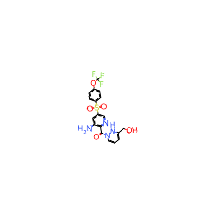 Nc1cc(S(=O)(=O)c2ccc(OC(F)(F)F)cc2)cnc1C(=O)N1C=CC=C(CO)N1